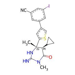 CN1C(=N)N[C@](C)(c2cc(-c3cc(I)cc(C#N)c3)cs2)[C@@H](C2CC2)C1=O